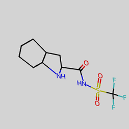 O=C(NS(=O)(=O)C(F)(F)F)C1CC2CCCCC2N1